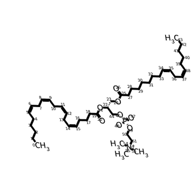 CCCCC/C=C\C/C=C\C/C=C\C/C=C\CCCC(=O)O[C@H](COC(=O)CCCCCCC/C=C\C/C=C\CCCCC)COP(=O)([O-])OCC[N+](C)(C)C